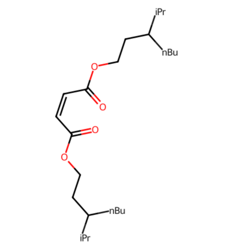 CCCCC(CCOC(=O)/C=C\C(=O)OCCC(CCCC)C(C)C)C(C)C